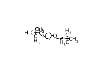 CC(C)(C)C#CCOC1CCN(CC(=O)C(C)(C)C)CC1